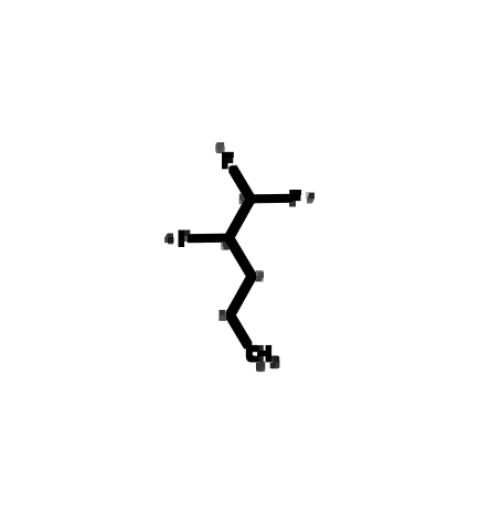 CCCC(F)C(F)F